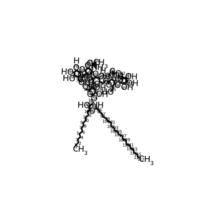 CCCCCCCCCCCCC/C=C/[C@@H](O)[C@H](CO[C@@H]1OC(CO)[C@@H](O[C@@H]2OC(CO[C@@H]3OC(CO)[C@@H](O[C@@H]4OC(CO)[C@H](O)[C@H](O)C4O)[C@H](O)C3NC(C)=O)[C@H](O)[C@H](O[C@@H]3OC(CO)[C@@H](O[C@@H]4OC(CO)[C@H](O)[C@H](O)C4O)[C@H](O)C3NC(C)=O)C2O)[C@H](O)C1O)NC(=O)CCCCCCCCCCCCCCCCCCCCCCC